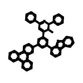 CN1C(c2cc(-c3ccc4c5ccccc5c5ccccc5c4c3)cc(-c3cccc4c3sc3ccccc34)c2)=CC(c2ccccc2)=NC1c1ccccc1